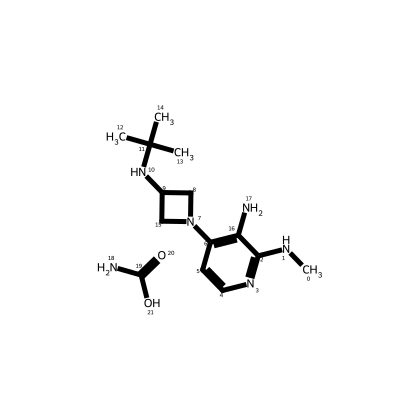 CNc1nccc(N2CC(NC(C)(C)C)C2)c1N.NC(=O)O